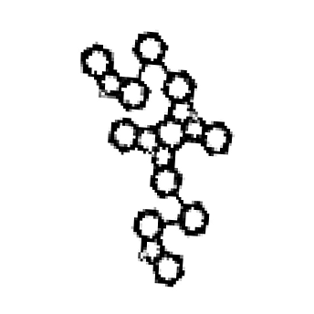 c1ccc(-c2cccc3oc4ccccc4c23)c(-c2ccc3c(c2)c2c4c5ccccc5n5c6ccc(-c7ccccc7-c7cccc8oc9ccccc9c78)cc6c(c6c7ccccc7n3c62)c45)c1